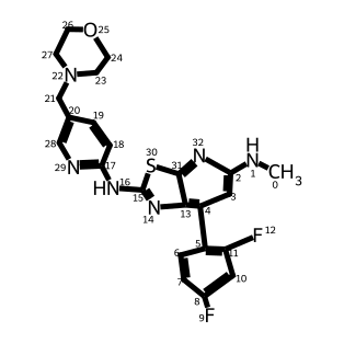 CNc1cc(-c2ccc(F)cc2F)c2nc(Nc3ccc(CN4CCOCC4)cn3)sc2n1